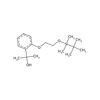 CC(C)(O)c1ccccc1OCCO[Si](C)(C)C(C)(C)C